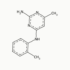 Cc1cc(Nc2ccccc2C)nc(N)n1